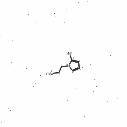 CCCCCCn1cccc1[N]